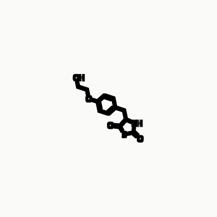 O=C1NC(Cc2ccc(OCCO)cc2)C(=O)S1